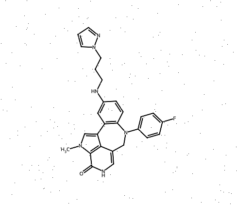 Cn1cc2c3c(c[nH]c(=O)c31)CN(c1ccc(F)cc1)c1ccc(NCCCn3cccn3)cc1-2